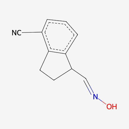 N#Cc1cccc2c1CCC2C=NO